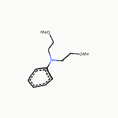 COCCN(CCOC)c1c[c]ccc1